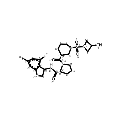 N#CC1CN(S(=O)(=O)N2CCC[C@H](C(=O)N3CCC[C@@H]3C(=O)NC3COc4cc(F)cc(F)c43)C2)C1